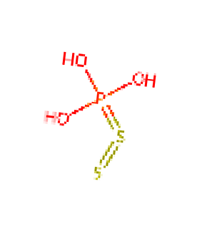 OP(O)(O)=S=S